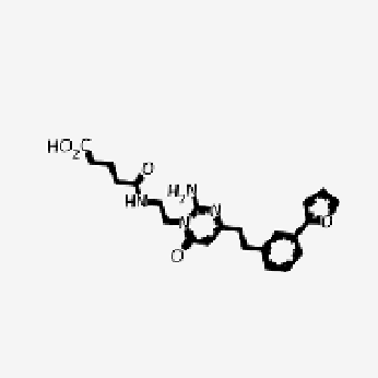 Nc1nc(CCc2cccc(-c3ccco3)c2)cc(=O)n1CCNC(=O)CCCC(=O)O